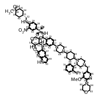 COc1cc(CN2CCN(C3CCC(N4CCN(c5ccc(C(=O)NS(=O)(=O)c6ccc(NC[C@H]7CC[C@](C)(O)CC7)c([N+](=O)[O-])c6)c(N6c7cc8cc[nH]c8nc7O[C@H]7COCC[C@@H]76)c5)CC4)CC3)[C@H](c3ccccc3C(C)C)C2)cnc1N1CCOCC1